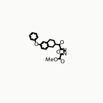 COC(=O)c1nnc(C(=O)C2CCc3cc(Oc4ccccc4)ccc3C2)o1